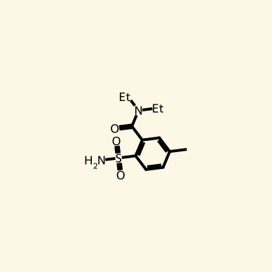 CCN(CC)C(=O)c1cc(C)ccc1S(N)(=O)=O